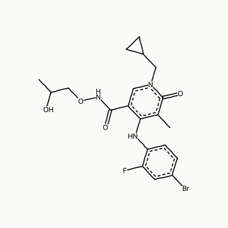 Cc1c(Nc2ccc(Br)cc2F)c(C(=O)NOCC(C)O)cn(CC2CC2)c1=O